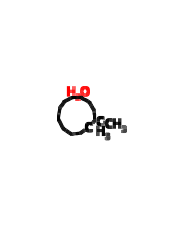 C1CCCCCCCCCCC1.CC.O